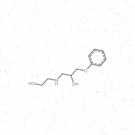 OCCNCC(O)COc1ccccc1